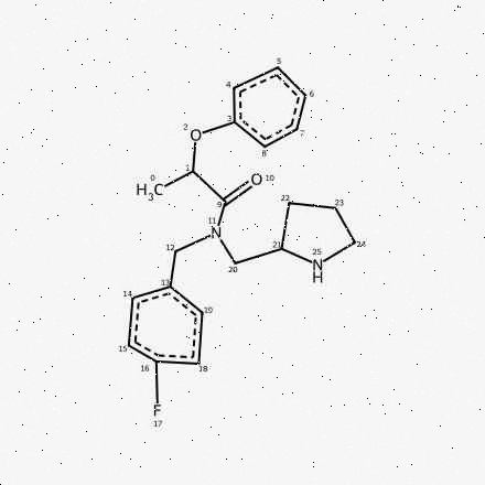 CC(Oc1ccccc1)C(=O)N(Cc1ccc(F)cc1)CC1CCCN1